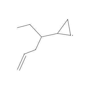 C=CCC(CC)C1[CH]C1